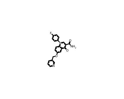 NC(=O)c1cn(-c2ccc(F)cc2)c2ccc(OCc3cccnc3)cc2c1=O